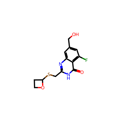 O=c1[nH]c(CSC2CCO2)nc2cc(CO)cc(F)c12